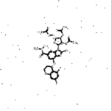 CC(=O)OC[C@H]1OC(n2c(C)nc3c(O[C@H]4CCOc5cc(F)cc(F)c54)cc(C(=O)N(C)C)cc32)[C@H](OC(C)=O)[C@@H]1OC(C)=O